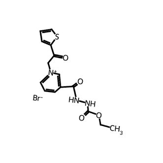 CCOC(=O)NNC(=O)c1ccc[n+](CC(=O)c2cccs2)c1.[Br-]